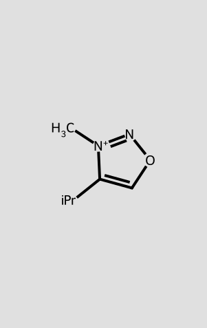 CC(C)c1con[n+]1C